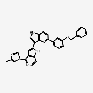 Cc1cn(-c2nccc3[nH]c(-c4n[nH]c5ccc(-c6cncc(OCc7ccccc7)c6)nc45)cc23)cn1